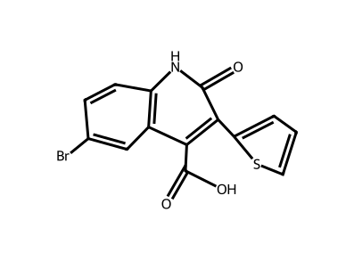 O=C(O)c1c(-c2cccs2)c(=O)[nH]c2ccc(Br)cc12